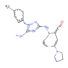 Cc1ccc(-n2nc(NC3C=CC(N4CCCC4)=CC3=C=O)nc2N)cc1